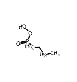 CNCO[PH](=O)OO